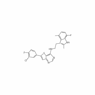 Cc1[nH]c2c(F)ccc(C)c2c1CCNc1ncnc2cc(-c3ccc(F)c(Cl)c3)sc12